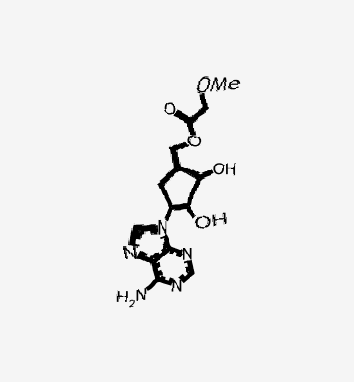 COCC(=O)OCC1CC(n2cnc3c(N)ncnc32)C(O)C1O